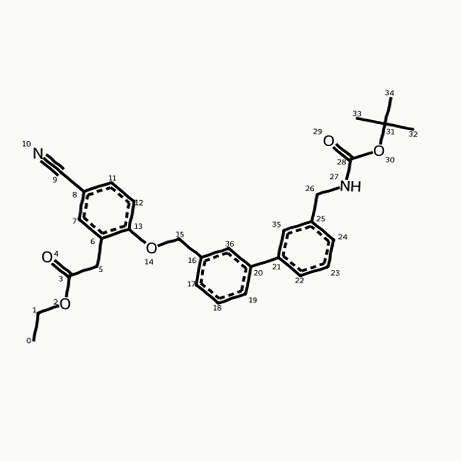 CCOC(=O)Cc1cc(C#N)ccc1OCc1cccc(-c2cccc(CNC(=O)OC(C)(C)C)c2)c1